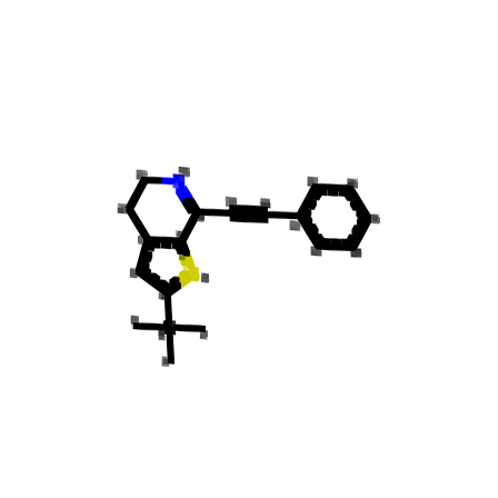 C[Si](C)(C)c1cc2c(s1)C(C#Cc1ccccc1)=NCC2